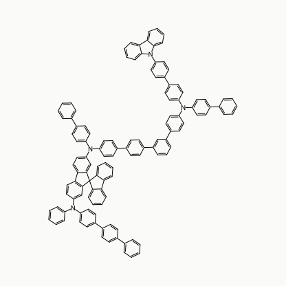 c1ccc(-c2ccc(-c3ccc(N(c4ccccc4)c4ccc5c(c4)C4(c6ccccc6-c6ccccc64)c4cc(N(c6ccc(-c7ccccc7)cc6)c6ccc(-c7ccc(-c8cccc(-c9ccc(N(c%10ccc(-c%11ccccc%11)cc%10)c%10ccc(-c%11ccc(-n%12c%13ccccc%13c%13ccccc%13%12)cc%11)cc%10)cc9)c8)cc7)cc6)ccc4-5)cc3)cc2)cc1